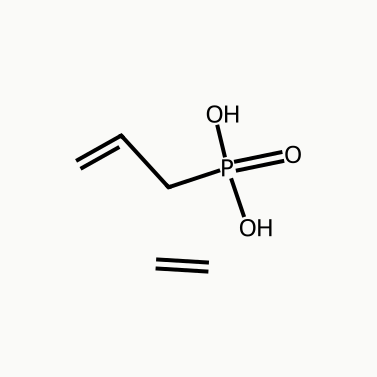 C=C.C=CCP(=O)(O)O